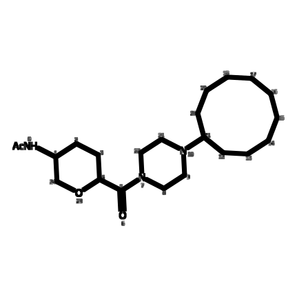 CC(=O)NC1CCC(C(=O)N2CCN(C3CCCCCCCCC3)CC2)OC1